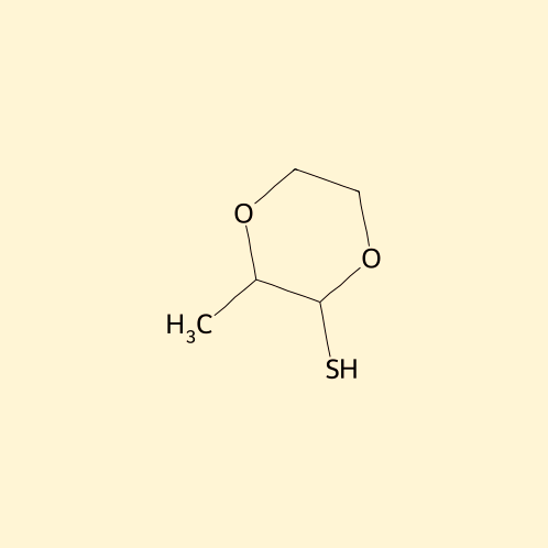 CC1OCCOC1S